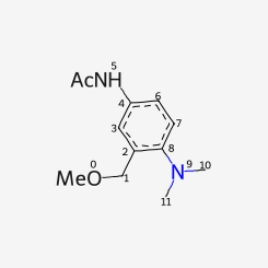 COCc1cc(NC(C)=O)ccc1N(C)C